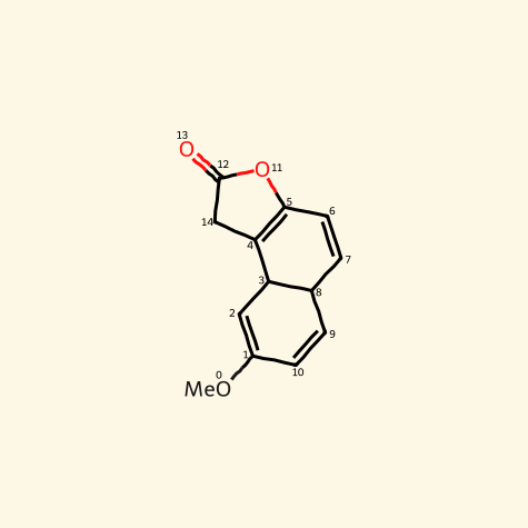 COC1=CC2C3=C(C=CC2C=C1)OC(=O)C3